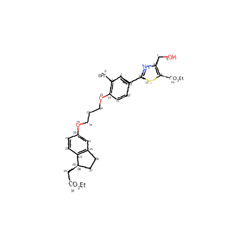 CCCc1cc(-c2nc(CO)c(C(=O)OCC)s2)ccc1OCCCOc1ccc2c(c1)CC[C@H]2CC(=O)OCC